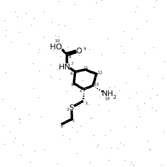 CCSC[C@@H]1CC(NC(=O)O)CC[C@@H]1N